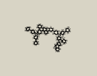 CC1C=CC(c2ccc(N(c3ccc(-c4ccccc4)cc3)c3ccc(-c4ccc5c(c4)C(C)(C)c4ccccc4-5)c(-c4ccccc4)c3)cc2)=CC1c1cccc2c(-c3ccc(N(c4ccc(-c5ccccc5)cc4)c4ccc(-c5ccccc5)cc4)cc3-c3ccccc3)cccc12